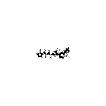 Cc1nc(NC(=O)NC(=O)[C@@H]2CCCN2)sc1-c1ccnc(C(C)(C)C(F)(F)F)c1